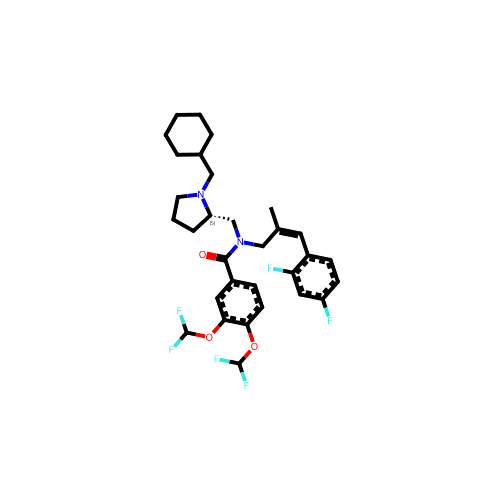 CC(=Cc1ccc(F)cc1F)CN(C[C@@H]1CCCN1CC1CCCCC1)C(=O)c1ccc(OC(F)F)c(OC(F)F)c1